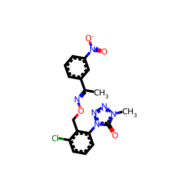 CC(=NOCc1c(Cl)cccc1-n1nnn(C)c1=O)c1cccc([N+](=O)[O-])c1